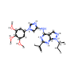 C=C(C)c1nc(Nc2cn(-c3cc(OC)c(OC)c(OC)c3)cn2)c2cnn([C@@H](C)CC)c2n1